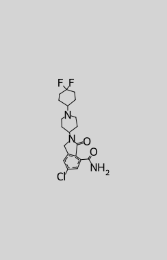 NC(=O)c1cc(Cl)cc2c1C(=O)N(C1CCN(C3CCC(F)(F)CC3)CC1)C2